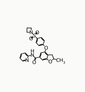 CC1Cc2c(Oc3ccc(S(=O)(=O)N4CCC4)cc3)cc(C(=O)Nc3ccccn3)cc2O1